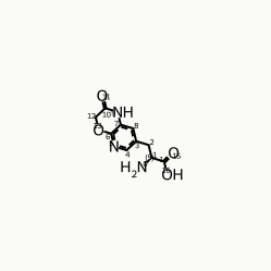 N[C@@H](Cc1cnc2c(c1)NC(=O)CO2)C(=O)O